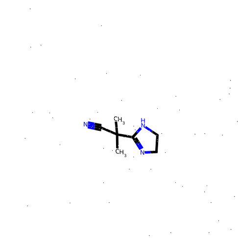 CC(C)(C#N)C1=NCCN1